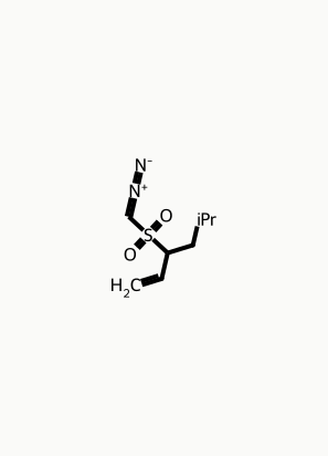 C=CC(CC(C)C)S(=O)(=O)C=[N+]=[N-]